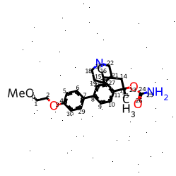 COCCOc1ccc(-c2ccc(C(C)(CC3CN4CCC3CC4)OC(N)=O)cc2)cc1